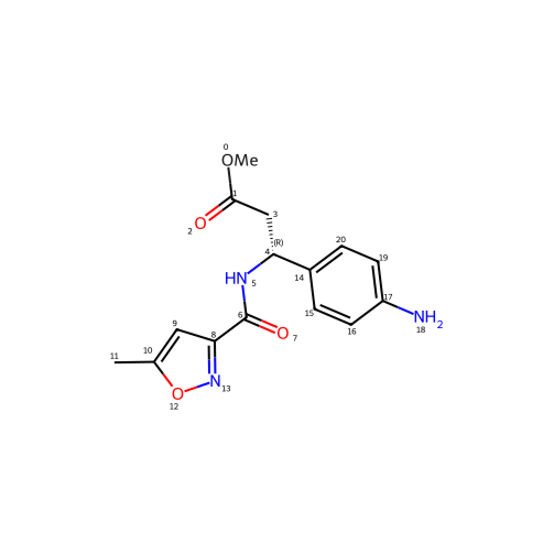 COC(=O)C[C@@H](NC(=O)c1cc(C)on1)c1ccc(N)cc1